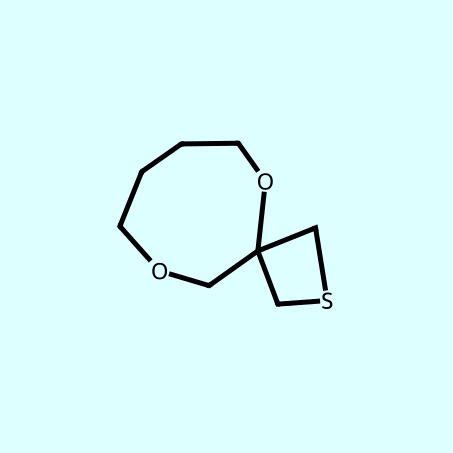 C1CCOC2(COC1)CSC2